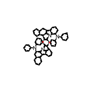 c1ccc(N(c2ccccc2)c2cc3ccccc3c3c4cccc5c6nc7c(nc6n(c23)c54)c2c3ccccc3cc3c4cccc(N(c5ccccc5)c5ccccc5)c4n7c32)cc1